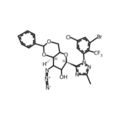 Cc1nc([C@@H]2OC3COC(c4ccccc4)O[C@@H]3C(N=[N+]=[N-])C2O)n(-c2cc(Cl)cc(Br)c2C(F)(F)F)n1